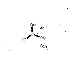 OB(O)O.[SbH3].[Zn]